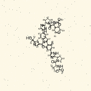 COC(=O)N[C@H](C(=O)N1CCC[C@H]1c1ncc(-c2cc(F)c3c(c2)OC(c2cnc(C(C)(C)O)s2)n2c-3cc3cc(-c4cnc([C@@H]5CCCN5C(=O)[C@@H](NC(=O)OC)C5C[C@@H](C)O[C@@H](C)C5)[nH]4)ccc32)[nH]1)C(C)C